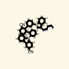 C/C=C\C=C/c1cn(-c2cccc(-c3c(C#N)cccc3-c3ccccc3-n3c4ccccc4c4cc(C#N)ccc43)c2)c2ccccc12